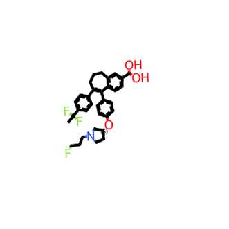 CC(F)(F)c1ccc(C2=C(c3ccc(O[C@H]4CCN(CCCF)C4)cc3)c3ccc(C(O)O)cc3CCC2)cc1